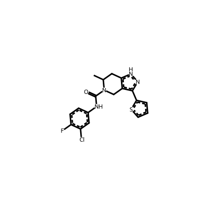 CC1Cc2[nH]nc(-c3cccs3)c2CN1C(=O)Nc1ccc(F)c(Cl)c1